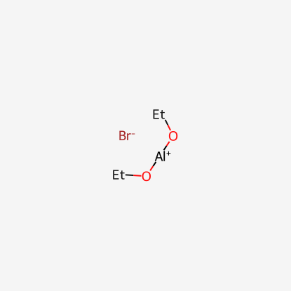 CC[O][Al+][O]CC.[Br-]